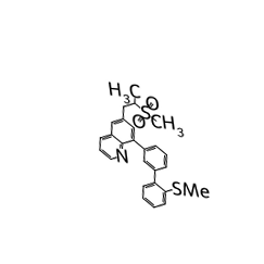 CSc1ccccc1-c1cccc(-c2cc(CC(C)S(C)(=O)=O)cc3cccnc23)c1